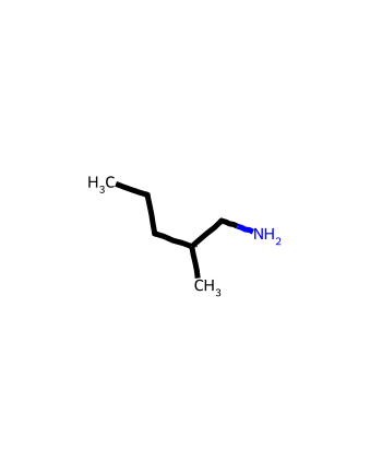 CCC[C](C)CN